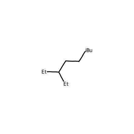 CCC(C)CCC(CC)CC